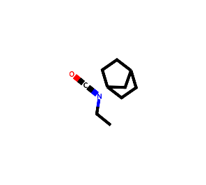 C1CC2CCC1C2.CCN=C=O